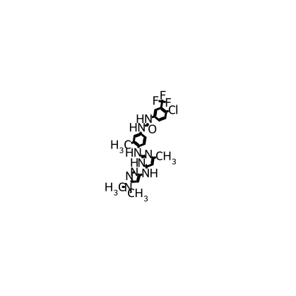 Cc1cc(Nc2cc(N(C)C)n[nH]2)nc(Nc2ccc(NC(=O)Nc3ccc(Cl)c(C(F)(F)F)c3)cc2C)n1